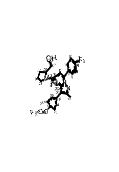 Cc1nn2c(-c3ccc(F)cc3)cc(N3CCCC3CO)nc2c1-c1ccc(OC(F)(F)F)cc1